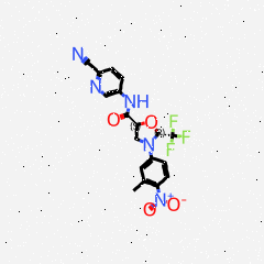 Cc1cc(N2C[C@@H](C(=O)Nc3ccc(C#N)nc3)O[C@@H]2C(F)(F)F)ccc1[N+](=O)[O-]